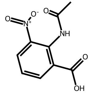 CC(=O)Nc1c(C(=O)O)cccc1[N+](=O)[O-]